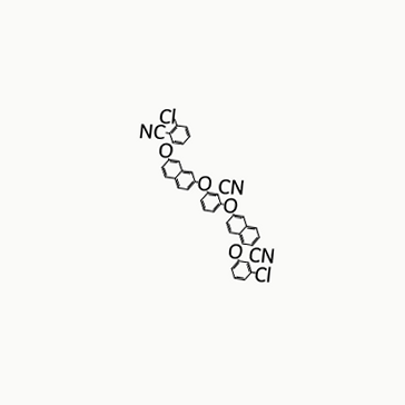 N#Cc1c(Cl)cccc1Oc1ccc2ccc(Oc3cccc(Oc4ccc5c(Oc6cccc(Cl)c6C#N)cccc5c4)c3C#N)cc2c1